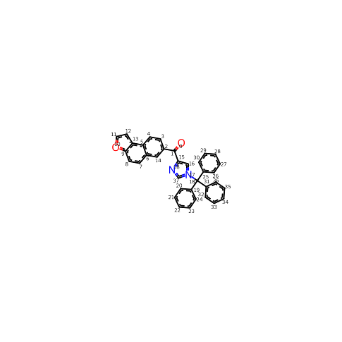 O=C(c1ccc2c(ccc3occc32)c1)c1cn(C(c2ccccc2)(c2ccccc2)c2ccccc2)cn1